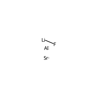 [Al].[Li][F].[Sr]